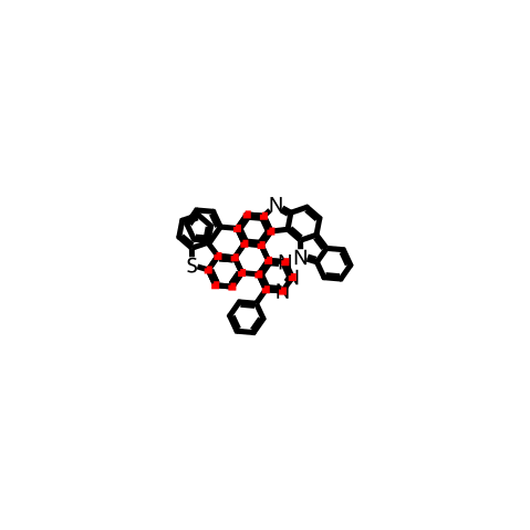 c1ccc(-c2ccccc2-c2ccccc2-c2c(-c3ccccc3)nnnc2-c2c3c(cc(-c4ccccc4)c2-c2cccc4sc5ccccc5c24)N=c2ccc4c(c2-3)N=c2ccccc2=4)cc1